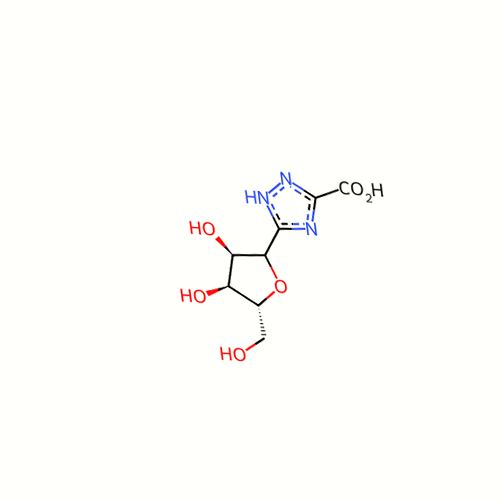 O=C(O)c1n[nH]c(C2O[C@H](CO)[C@@H](O)[C@H]2O)n1